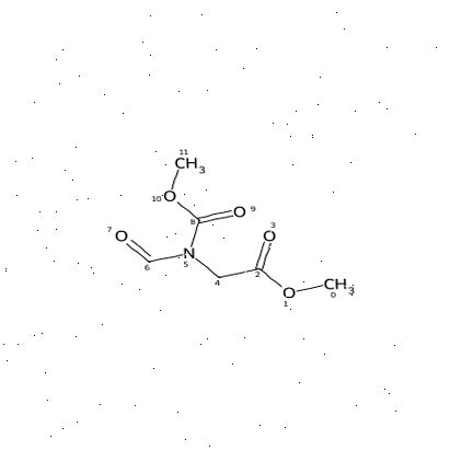 COC(=O)CN(C=O)C(=O)OC